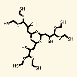 SCSC(SCS)C(S)CC1SC(CC(S)C(SCS)SCS)SC(CC(S)C(SCS)SCS)S1